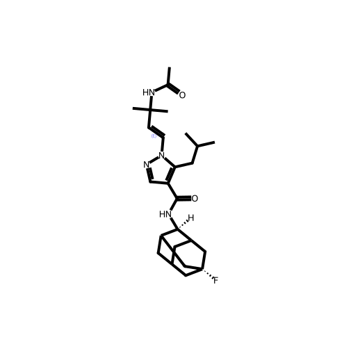 CC(=O)NC(C)(C)/C=C/n1ncc(C(=O)N[C@H]2C3CC4CC2C[C@](F)(C4)C3)c1CC(C)C